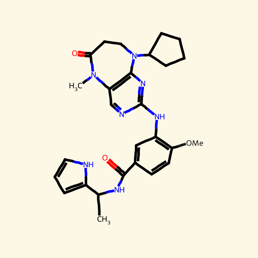 COc1ccc(C(=O)NC(C)c2ccc[nH]2)cc1Nc1ncc2c(n1)N(C1CCCC1)CCC(=O)N2C